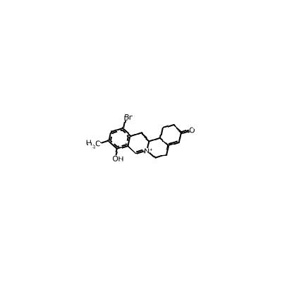 Cc1cc(Br)c2c(c1O)C=[N+]1CCC3=CC(=O)CCC3C1C2